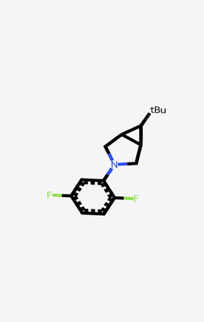 CC(C)(C)C1C2CN(c3cc(F)ccc3F)CC21